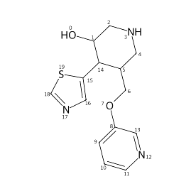 OC1CNCC(COc2cccnc2)C1c1cncs1